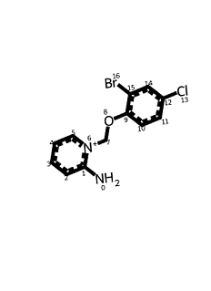 Nc1cccc[n+]1COc1ccc(Cl)cc1Br